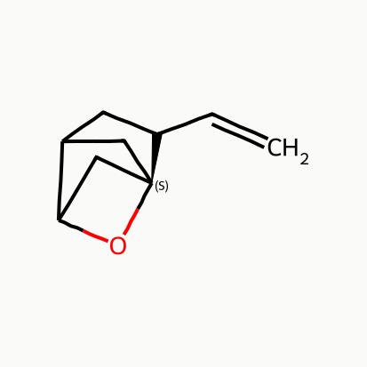 C=CC1CC2C[C@]13CC2O3